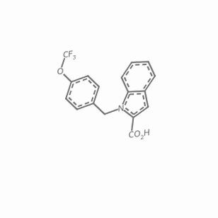 O=C(O)c1cc2ccccc2n1Cc1ccc(OC(F)(F)F)cc1